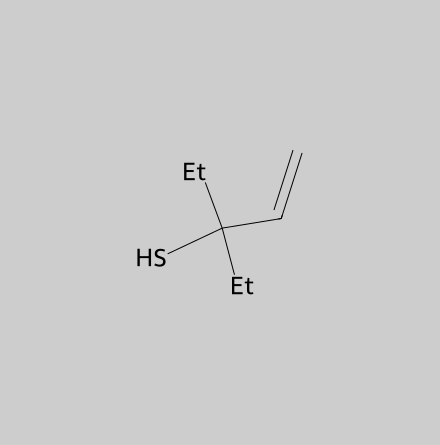 C=CC(S)(CC)CC